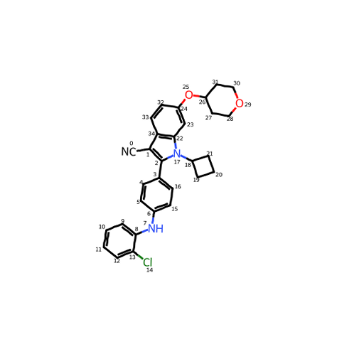 N#Cc1c(-c2ccc(Nc3ccccc3Cl)cc2)n(C2CCC2)c2cc(OC3CCOCC3)ccc12